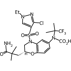 CCn1cc(S(=O)(=O)N2C[C@@H](CC(C)(C)C(N)=O)Oc3ccc(N(C(=O)O)C(C)(C)C(F)(F)F)cc32)c(Cl)n1